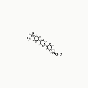 O=CNCc1ccc(N2CCC(c3ccc(C(F)(F)P)cc3)CC2)cc1